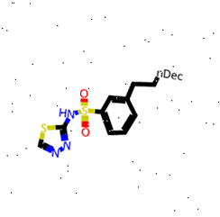 CCCCCCCCCCCCc1cccc(S(=O)(=O)Nc2nncs2)c1